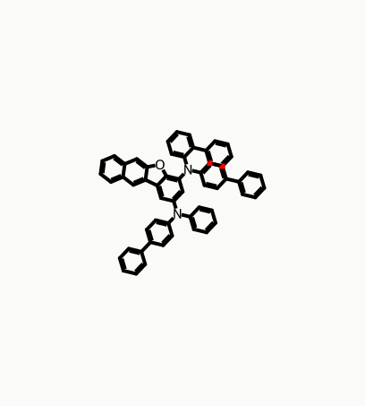 c1ccc(-c2ccc(N(c3ccccc3)c3cc(N(c4ccc(-c5ccccc5)cc4)c4ccccc4-c4ccccc4)c4oc5cc6ccccc6cc5c4c3)cc2)cc1